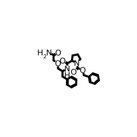 NC(=O)COCC(Cc1ccccc1)NC(=O)C1CCCN1C(=O)OCc1ccccc1